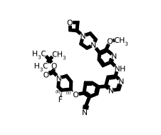 COc1nc(Nc2cc(-c3ccc(O[C@H]4CCN(C(=O)OC(C)(C)C)C[C@H]4F)c(C#N)c3)ncn2)ccc1N1CCN(C2COC2)CC1